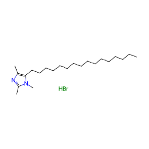 Br.CCCCCCCCCCCCCCCCc1c(C)nc(C)n1C